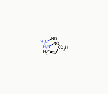 C=CC(=O)O.NN=O.NN=O